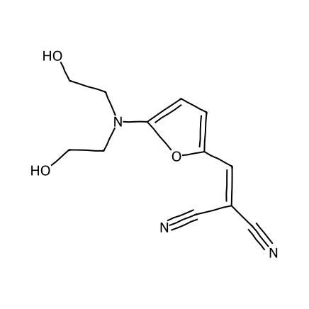 N#CC(C#N)=Cc1ccc(N(CCO)CCO)o1